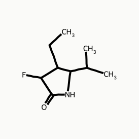 CCC1C(F)C(=O)NC1C(C)C